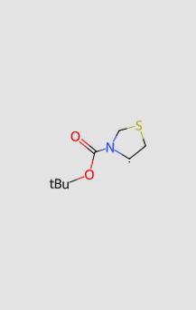 CC(C)(C)OC(=O)N1[CH]CSC1